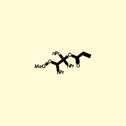 C=CC(=O)OC(CCC)(CCC)C(CCC)OOC